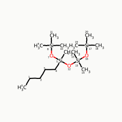 CCCCC[Si](C)(O[Si](C)(C)C)O[Si](C)(C)O[Si](C)(C)C